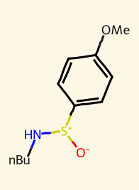 CCCCN[S+]([O-])c1ccc(OC)cc1